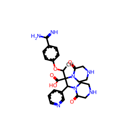 CC(Oc1ccc(C(=N)N)cc1)C(C(=O)O)(C(c1cccnc1)N1CCNCC1=O)N1CCNCC1=O